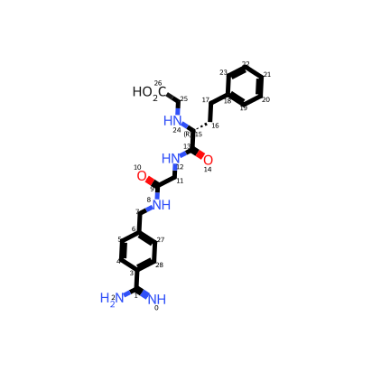 N=C(N)c1ccc(CNC(=O)CNC(=O)[C@@H](CCc2ccccc2)NCC(=O)O)cc1